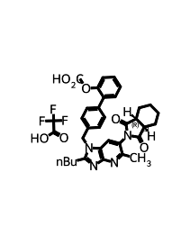 CCCCc1nc2nc(C)c(N3C(=O)[C@H]4CCCC[C@H]4C3=O)cc2n1Cc1ccc(-c2ccccc2OC(=O)O)cc1.O=C(O)C(F)(F)F